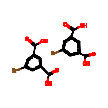 O=C(O)c1cc(Br)cc(C(=O)O)c1.O=C(O)c1cc(Br)cc(C(=O)O)c1